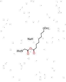 CCCCCCCCCCCCCCCCCC(=O)OC(=O)CNC.[NaH]